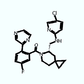 O=C(c1cc(F)ccc1-c1cnccn1)N1CCC2(CC2)C[C@H]1CNc1ccc(Cl)cn1